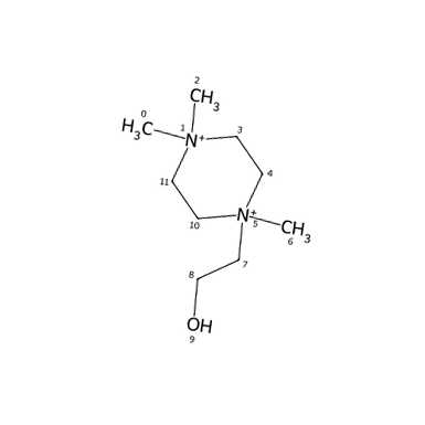 C[N+]1(C)CC[N+](C)(CCO)CC1